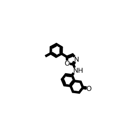 Cc1cccc(-c2cnc(Nc3cccc4c3CC(=O)CC4)o2)c1